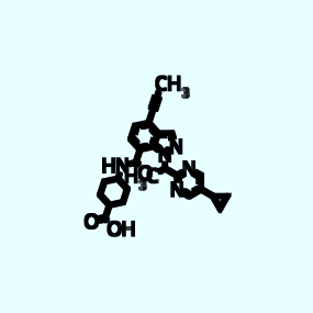 CC#Cc1ccc(C(=O)NC2CCC(C(=O)O)CC2)c2c1cnn2C(C)c1ncc(C2CC2)cn1